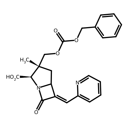 C[C@@]1(COC(=O)OCc2ccccc2)CC2/C(=C\c3ccccn3)C(=O)N2[C@H]1C(=O)O